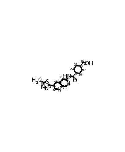 Cc1nnc(-c2cnc3cnc(NC(=O)[C@H]4CC[C@H](CO)CC4)cc3c2)s1